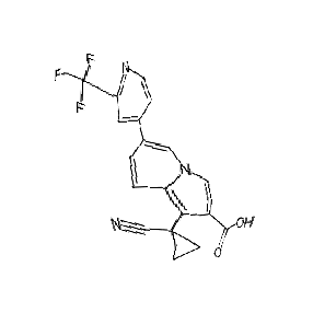 N#CC1(c2c(C(=O)O)cn3cc(-c4ccnc(C(F)(F)F)c4)ccc23)CC1